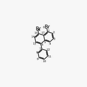 Brc1cccc2c(-c3ccccc3)ccc(Br)c12